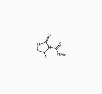 CNC(=S)N1C(=O)OCC1C